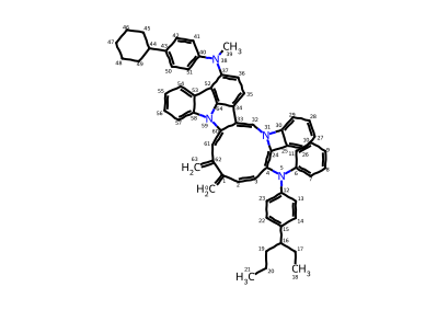 C=c1ccc(N(c2ccccc2)c2ccc(C(CC)CCC)cc2)c2c3ccccc3n-2cc2c3ccc(N(C)c4ccc(C5CCCCC5)cc4)c4c5ccccc5n(c2cc1=C)c34